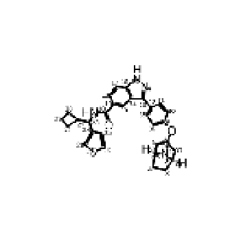 CN1[C@@H]2CC[C@H]1C[C@@H](Oc1ccc(-c3n[nH]c4ccc(C(=O)NC(c5ccsc5)C5CCC5)cc34)cc1)C2